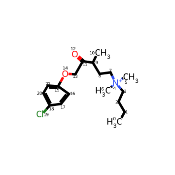 CCCC[N+](C)(C)CCC(C)C(=O)COc1ccc(Cl)cc1